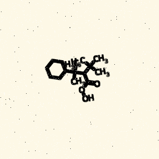 CC(C)(C)C(C(=O)OO)C(C)(C)C1CCCCC1